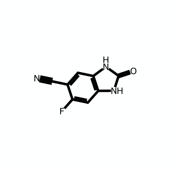 N#Cc1cc2[nH]c(=O)[nH]c2cc1F